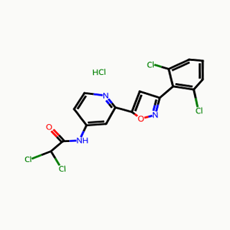 Cl.O=C(Nc1ccnc(-c2cc(-c3c(Cl)cccc3Cl)no2)c1)C(Cl)Cl